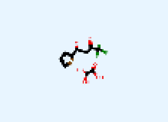 O=C(CC(=O)C(F)(F)F)c1cccs1.O=C(O)C(O)O